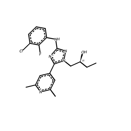 CC[C@H](O)Cn1nc(Nc2cccc(Cl)c2F)nc1-c1cc(C)nc(C)c1